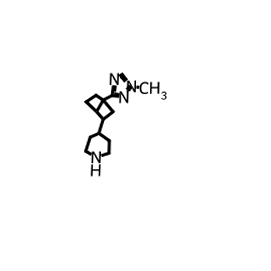 Cn1cnc(C23CCC2C(C2CCNCC2)C3)n1